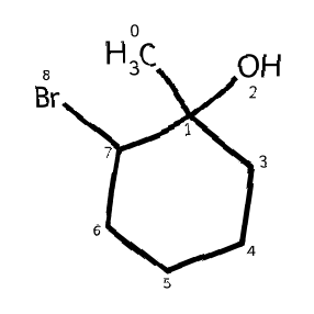 CC1(O)CCCCC1Br